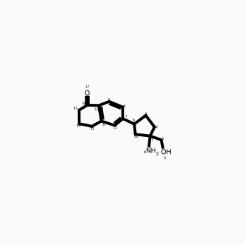 NC1(CO)CCC(c2ccc3c(c2)CCCC3=O)C1